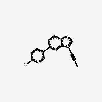 CC#Cc1cnn2ccc(-c3ccc(CC)nc3)nc12